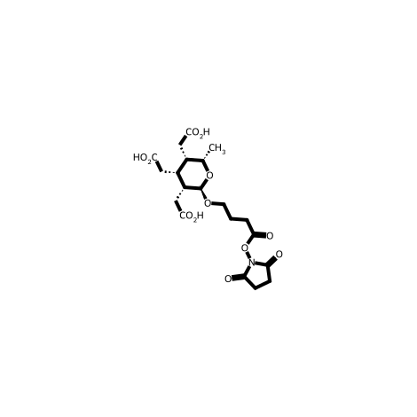 C[C@@H]1O[C@@H](OCCCC(=O)ON2C(=O)CCC2=O)[C@H](CC(=O)O)[C@H](CC(=O)O)[C@@H]1CC(=O)O